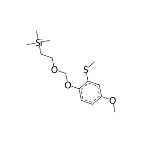 COc1ccc(OCOCC[Si](C)(C)C)c(SC)c1